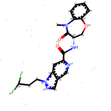 CN1C(=O)[C@@H](NC(=O)c2cc3c(cn2)cnn3CCC(F)F)COc2ccccc21